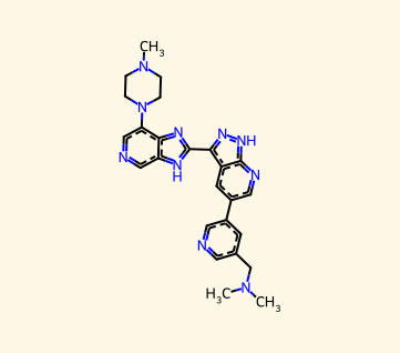 CN(C)Cc1cncc(-c2cnc3[nH]nc(-c4nc5c(N6CCN(C)CC6)cncc5[nH]4)c3c2)c1